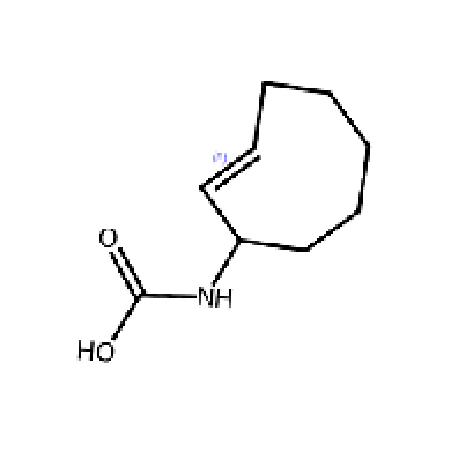 O=C(O)NC1/C=C/CCCCC1